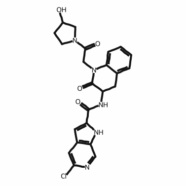 O=C(NC1Cc2ccccc2N(CC(=O)N2CCC(O)C2)C1=O)c1cc2cc(Cl)ncc2[nH]1